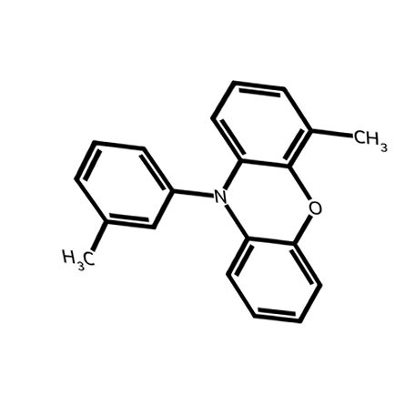 Cc1cccc(N2c3ccccc3Oc3c(C)cccc32)c1